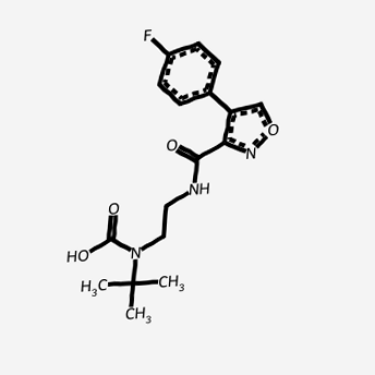 CC(C)(C)N(CCNC(=O)c1nocc1-c1ccc(F)cc1)C(=O)O